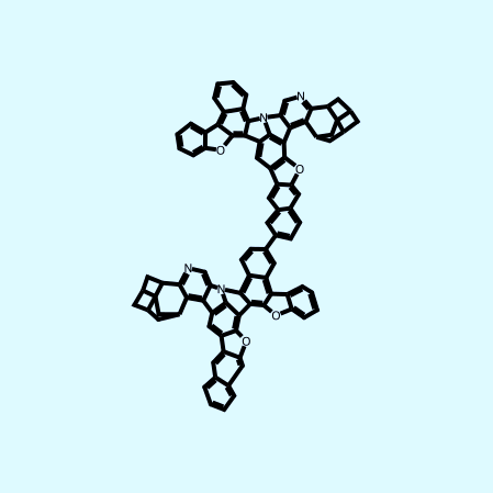 c1ccc2cc3c(cc2c1)oc1c3cc2c3c4c(ncc3n3c2c1c1c2oc5ccccc5c2c2cc(-c5ccc6cc7oc8c(cc9c%10c%11oc%12ccccc%12c%11c%11ccccc%11c%10n%10c%11cnc%12c(c%11c8c9%10)C8CC9CC%10CC%12C9%10C8)c7cc6c5)ccc2c13)C1CC2CC3CC4CC321